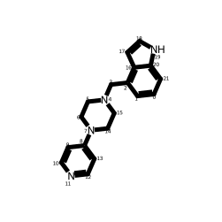 c1cc(CN2CCN(c3ccncc3)CC2)c2cc[nH]c2c1